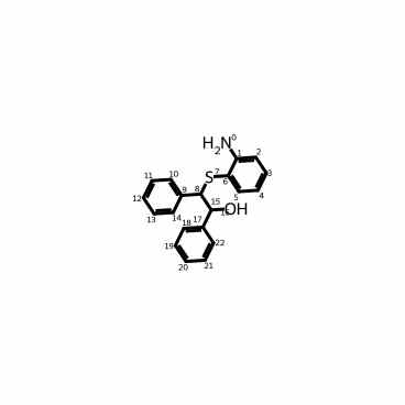 Nc1ccccc1SC(c1ccccc1)C(O)c1ccccc1